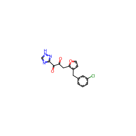 O=C(Cc1occc1Cc1cccc(Cl)c1)C(=O)c1nc[nH]n1